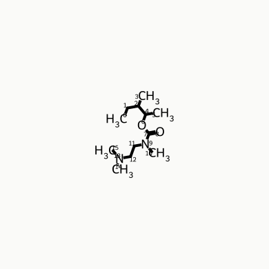 CCC(C)C(C)OC(=O)N(C)CCN(C)C